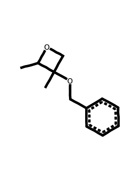 CC1OCC1(C)OCc1ccccc1